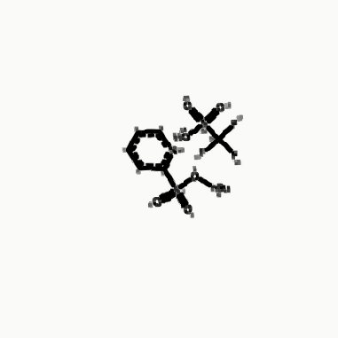 CCCCOS(=O)(=O)c1ccccn1.O=S(=O)(O)C(F)(F)F